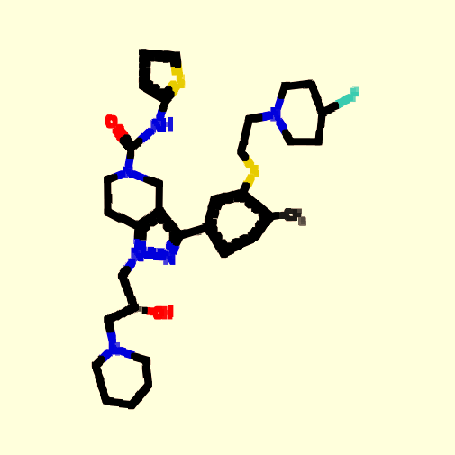 O=C(Nc1cccs1)N1CCc2c(c(-c3ccc(C(F)(F)F)c(SCCN4CCC(F)CC4)c3)nn2C[C@H](O)CN2CCCCC2)C1